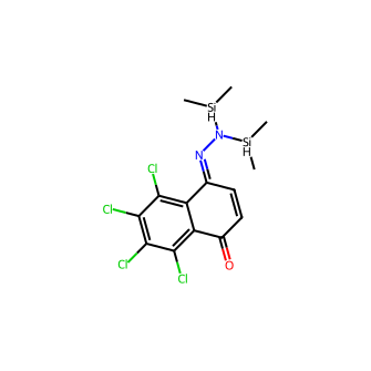 C[SiH](C)N(N=C1C=CC(=O)c2c(Cl)c(Cl)c(Cl)c(Cl)c21)[SiH](C)C